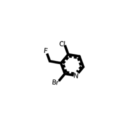 FCc1c(Cl)ccnc1Br